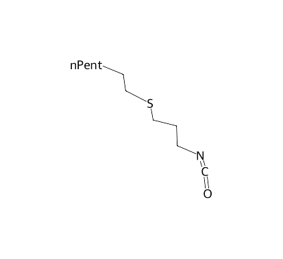 CCCCCCCSCCCN=C=O